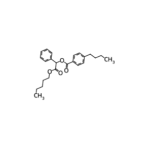 CCCCCOC(=O)C(OC(=O)c1ccc(CCCC)cc1)c1ccccc1